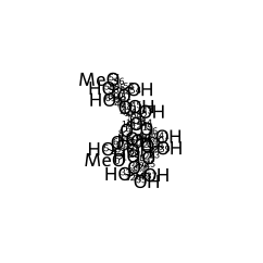 COCC1C(CO)OC(COCC2OC(COCC3C(CO)OC(COCC4C(CO)OC(CO)C(O)C4O)C(O)C3O)C(O)C(O)C2COCC2OC(CO)C(COC)C(O)C2O)C(O)C1O